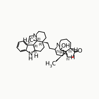 C[C@@H]1C[C@H]2CC(=O)[C@H]3CCCN4C(CC[C@@]56CCCN7CC[C@]8(c9ccccc9N[C@@H]8CC5)[C@]76C)CC[C@]23[C@@]4(O)C1